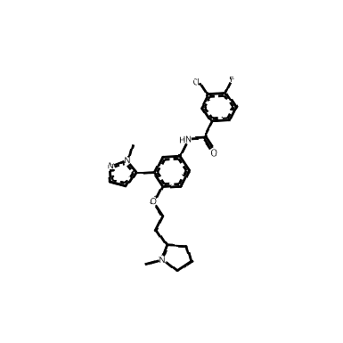 CN1CCCC1CCOc1ccc(NC(=O)c2ccc(F)c(Cl)c2)cc1-c1ccnn1C